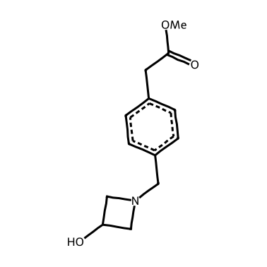 COC(=O)Cc1ccc(CN2CC(O)C2)cc1